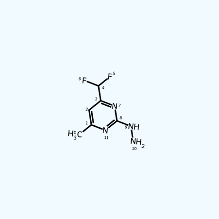 Cc1cc(C(F)F)nc(NN)n1